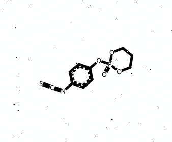 O=P1(Oc2ccc(N=C=S)cc2)OCCCO1